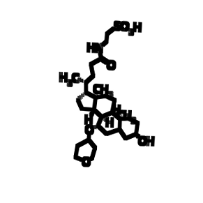 C[C@H](CCC(=O)NCCS(=O)(=O)O)[C@H]1CC[C@H]2[C@@H]3[C@@H](OC4CCOCC4)CC4C[C@H](O)CC[C@]4(C)[C@H]3CC[C@]12C